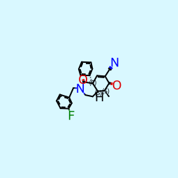 C[C@@H]1C(=O)C(C#N)=C[C@]2(c3ccccc3)C(=O)N(Cc3cccc(F)c3)CC[C@@H]12